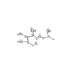 CC(O)COC1OCC(O)C(O)C1O